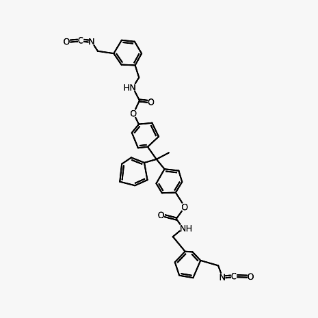 CC(c1ccccc1)(c1ccc(OC(=O)NCc2cccc(CN=C=O)c2)cc1)c1ccc(OC(=O)NCc2cccc(CN=C=O)c2)cc1